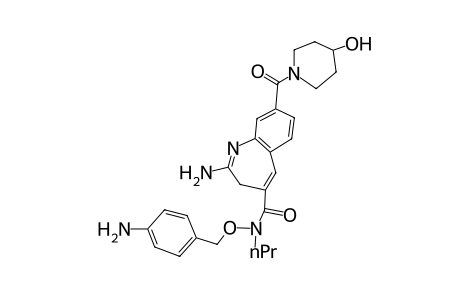 CCCN(OCc1ccc(N)cc1)C(=O)C1=Cc2ccc(C(=O)N3CCC(O)CC3)cc2N=C(N)C1